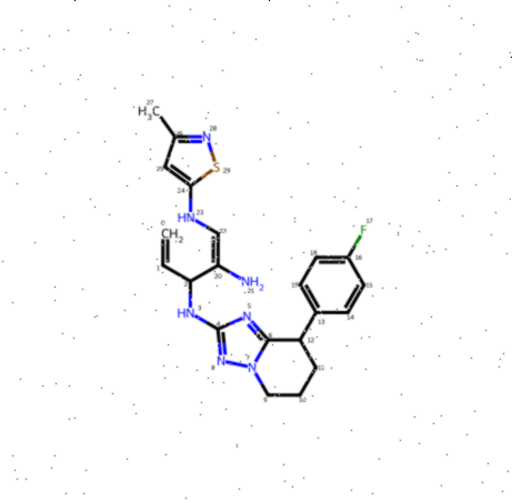 C=CC(Nc1nc2n(n1)CCCC2c1ccc(F)cc1)/C(N)=C\Nc1cc(C)ns1